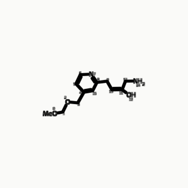 COCOCc1ccnc(C/C=C(/O)CN)c1